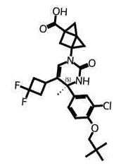 CC(C)(C)COc1ccc([C@]2(C)NC(=O)N(C34CC5(C(=O)O)CC53C4)C=C2C2CC(F)(F)C2)cc1Cl